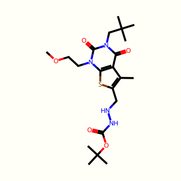 COCCn1c(=O)n(CC(C)(C)C)c(=O)c2c(C)c(CNNC(=O)OC(C)(C)C)sc21